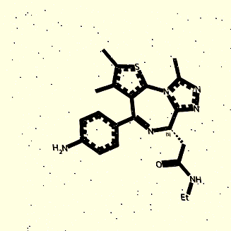 CCNC(=O)C[C@@H]1N=C(c2ccc(N)cc2)c2c(sc(C)c2C)-n2c(C)nnc21